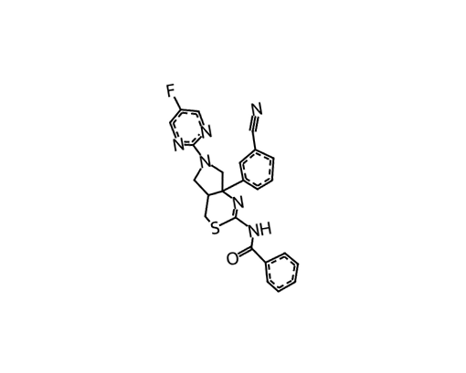 N#Cc1cccc(C23CN(c4ncc(F)cn4)CC2CSC(NC(=O)c2ccccc2)=N3)c1